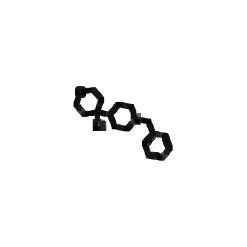 CCC1(C2CCN(Cc3ccccc3)CC2)CCOCC1